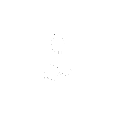 c1cc2c(c(N3CC[N]CC3)c1)CCOO2